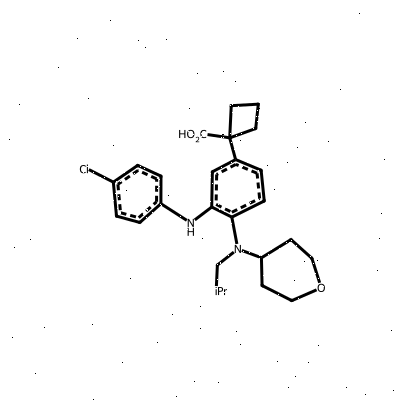 CC(C)CN(c1ccc(C2(C(=O)O)CCC2)cc1Nc1ccc(Cl)cc1)C1CCOCC1